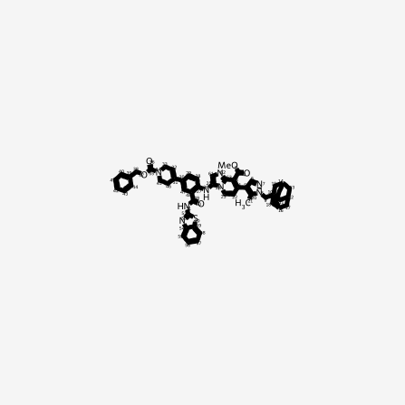 COC(=O)c1c(-c2cnn(CC34CC5CC(CC(C5)C3)C4)c2C)ccn2c(Nc3ccc(C4=CCN(C(=O)OCc5ccccc5)CC4)cc3C(=O)Nc3nc4ccccc4s3)cnc12